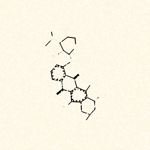 C[C@@H]1O[C@@H](Oc2cccc3c2C(=O)c2c(O)c4c(c(O)c2C3=O)C[C@](C)(O)C[C@@H]4O)[C@@H](O)[C@H](N(C)C)[C@@H]1O